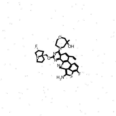 C=Cc1cc2c(N3CCOCC(C)(O)C3)nc(OC[C@@]34CCCN3C[C@H](F)C4)nc2c(F)c1-c1ccc(F)c2sc(N)c(C#N)c12